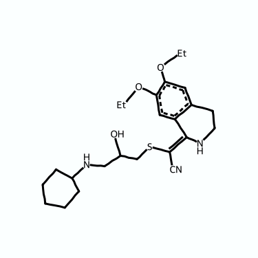 CCOc1cc2c(cc1OCC)C(=C(C#N)SCC(O)CNC1CCCCC1)NCC2